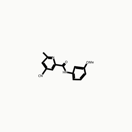 [C-]#[N+]c1cc(C)nc(C(=O)Nc2cccc(OC)c2)c1